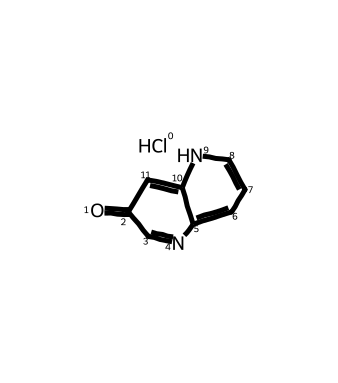 Cl.O=c1cnc2ccc[nH]c-2c1